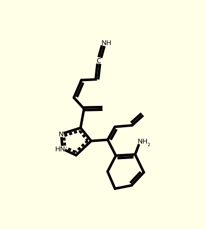 C=C/C=C(\C1=C(N)C=CCC1)c1c[nH]nc1C(=C)/C=C\C=C=N